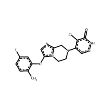 Cc1ccc(F)cc1Oc1cnc2n1CCN(c1cn[nH]c(=O)c1Cl)C2